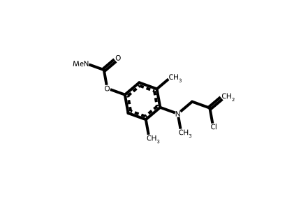 C=C(Cl)CN(C)c1c(C)cc(OC(=O)NC)cc1C